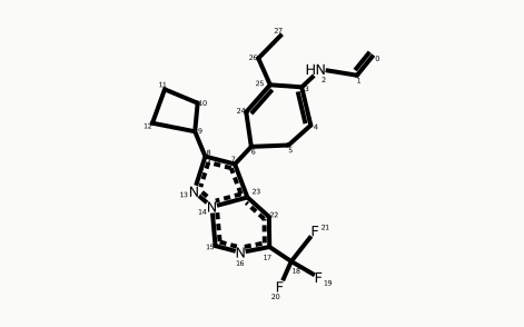 C=CNC1=CCC(c2c(C3CCC3)nn3cnc(C(F)(F)F)cc23)C=C1CC